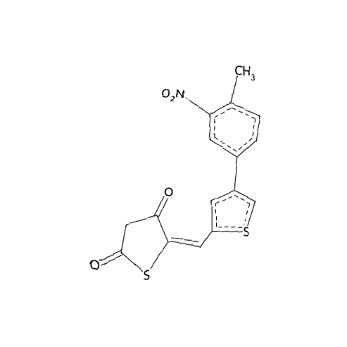 Cc1ccc(-c2csc(C=C3SC(=O)CC3=O)c2)cc1[N+](=O)[O-]